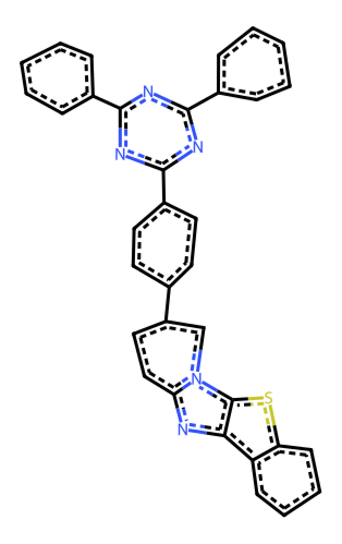 c1ccc(-c2nc(-c3ccccc3)nc(-c3ccc(-c4ccc5nc6c7ccccc7sc6n5c4)cc3)n2)cc1